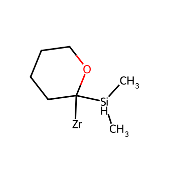 C[SiH](C)[C]1([Zr])CCCCO1